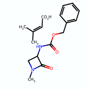 CC(C)=CC(=O)O.CN1CC(NC(=O)OCc2ccccc2)C1=O